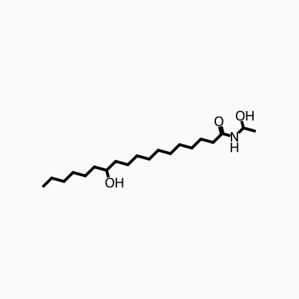 CCCCCCC(O)CCCCCCCCCCC(=O)NC(C)O